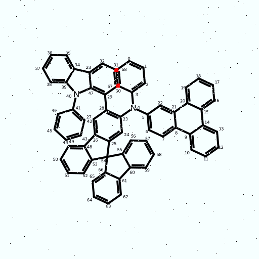 c1ccc(N(c2ccc3c4ccccc4c4ccccc4c3c2)c2cc3c(cc2-c2cccc4c5ccccc5n(-c5ccccc5)c24)-c2ccccc2C32c3ccccc3-c3ccccc32)cc1